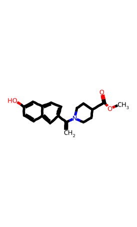 C=C(c1ccc2cc(O)ccc2c1)N1CCC(C(=O)OC)CC1